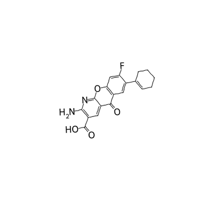 Nc1nc2oc3cc(F)c(C4=CCCCC4)cc3c(=O)c2cc1C(=O)O